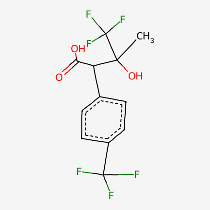 CC(O)(C(C(=O)O)c1ccc(C(F)(F)F)cc1)C(F)(F)F